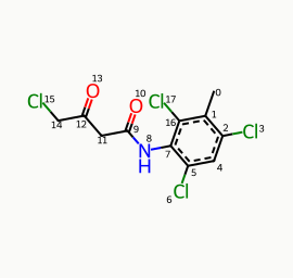 Cc1c(Cl)cc(Cl)c(NC(=O)CC(=O)CCl)c1Cl